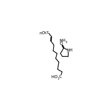 CCCCCCCCC=CCCCCCCCC(=O)O.N.O=C1CCCN1